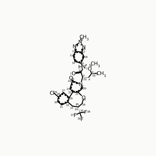 CO[C@@H](C)C[C@@H](C(=O)Nc1ccc2nn(C)nc2c1)n1cc2c(cc1=O)-c1cc(Cl)ccc1C[C@@H](C(F)(F)F)CO2